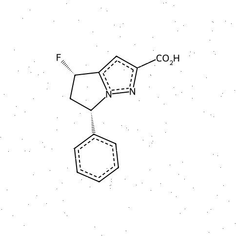 O=C(O)c1cc2n(n1)[C@H](c1ccccc1)C[C@@H]2F